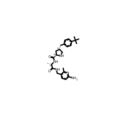 Cc1nc(N)ccc1CNC(=O)[C@H](C)NC(=O)[C@H]1C[C@H](Cc2ccc(C(C)(C)C)cc2)CN1